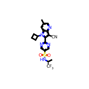 Cc1cnc2c(C#N)c(-c3ncc(S(=O)(=O)N[C@@H](C)C(F)(F)F)cn3)n(C3CCC3)c2c1